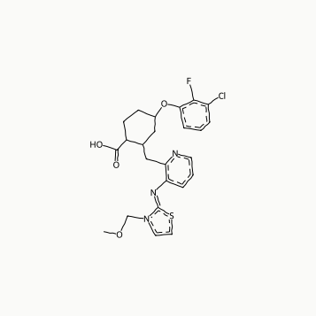 COCn1ccs/c1=N\c1cccnc1CC1CC(Oc2cccc(Cl)c2F)CCC1C(=O)O